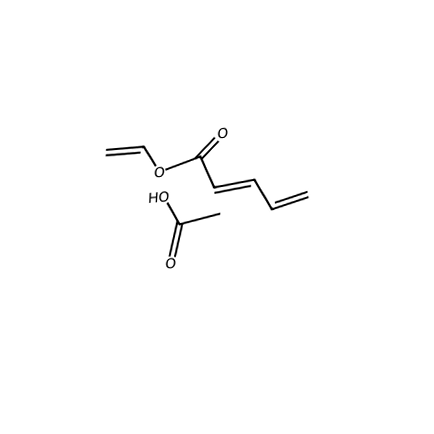 C=CC=CC(=O)OC=C.CC(=O)O